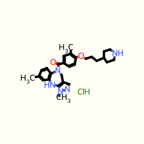 Cc1ccc2c(c1)Nc1c(cnn1C)CN2C(=O)c1ccc(OCCCC2CCNCC2)c(C)c1.Cl